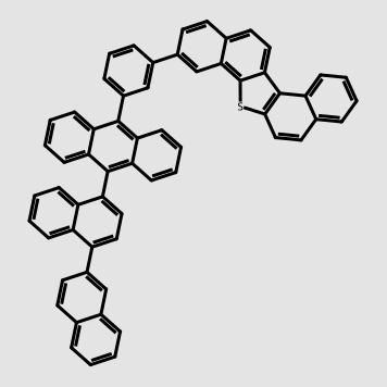 c1cc(-c2ccc3ccc4c(sc5ccc6ccccc6c54)c3c2)cc(-c2c3ccccc3c(-c3ccc(-c4ccc5ccccc5c4)c4ccccc34)c3ccccc23)c1